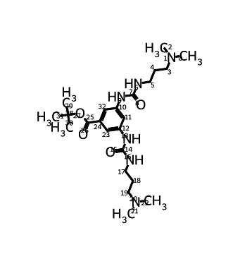 CN(C)CCCNC(=O)Nc1cc(NC(=O)NCCCN(C)C)cc(C(=O)OC(C)(C)C)c1